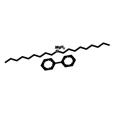 CCCCCCCCCOCCCCCCCCC.[MgH2].c1ccc(-c2ccccc2)cc1